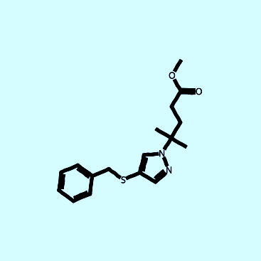 COC(=O)CCC(C)(C)n1cc(SCc2ccccc2)cn1